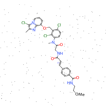 COCCNC(=O)c1ccc(/C=C/C(=O)NCC(=O)N(C)c2ccc(Cl)c(COc3cccn4c(Cl)c(C)nc34)c2Cl)cc1